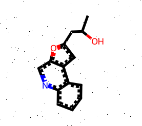 CC(O)Cc1cc2c(cnc3ccccc32)o1